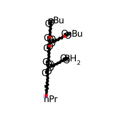 BOC(=O)CCCCCCCC(=O)OC(COC(=O)CCCCCCCC(=C)CCCC/C=C/CCC)COC(=O)CCCCCCCC(=O)OCC(COC(=O)CCCCCCCC(=O)OCCCC)OC(=O)CCCCCCCC(=O)OCCCC